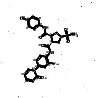 NS(=O)(=O)N1C[C@H](C(=O)Nc2ccc(Cl)cc2)[C@@H](C(=O)Nc2ccc(-n3ccccc3=O)cc2F)C1